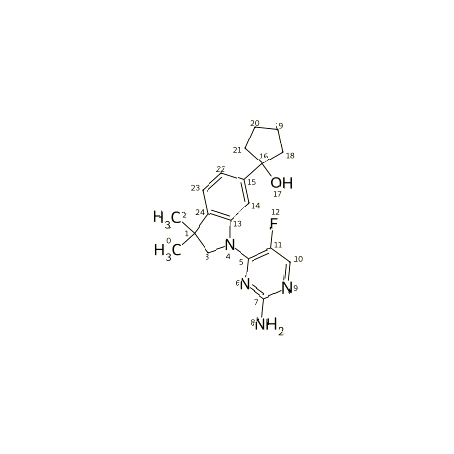 CC1(C)CN(c2nc(N)ncc2F)c2cc(C3(O)CCCC3)ccc21